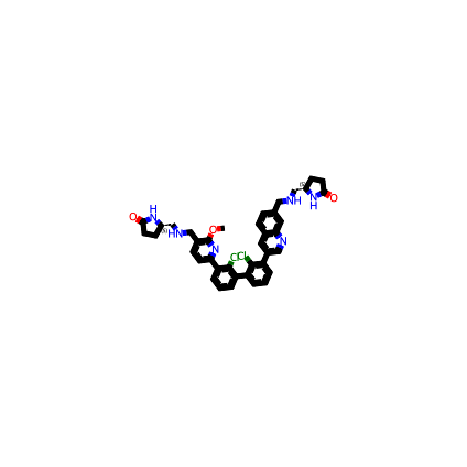 COc1nc(-c2cccc(-c3cccc(-c4cnc5cc(CNC[C@@H]6CCC(=O)N6)ccc5c4)c3Cl)c2Cl)ccc1CNC[C@@H]1CCC(=O)N1